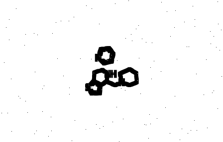 c1cc2c(s1)CCNC2CN1CCCCC1.c1ccncc1